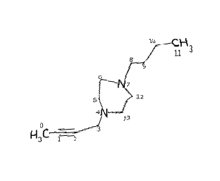 CC#CCN1CCN(CCCC)CC1